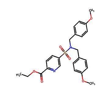 CCOC(=O)c1ccc(S(=O)(=O)N(Cc2ccc(OC)cc2)Cc2ccc(OC)cc2)cn1